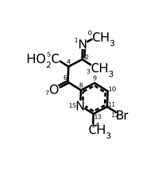 C/N=C(\C)C(C(=O)O)C(=O)c1ccc(Br)c(C)n1